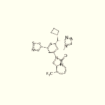 Cn1cnnc1C(c1cc(-c2cnsc2)cc(-n2cc3c(C(F)(F)F)cccn3c2=O)c1)C1CCC1